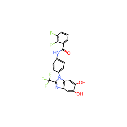 O=C(Nc1ccc(-n2c(C(F)(F)F)nc3cc(O)c(O)cc32)cc1)c1cccc(F)c1F